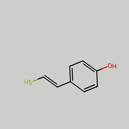 Oc1ccc(C=CS)cc1